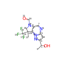 CC(O)c1cc2ncc3c(n2n1)C(C)(C(F)(F)F)CN3C=O